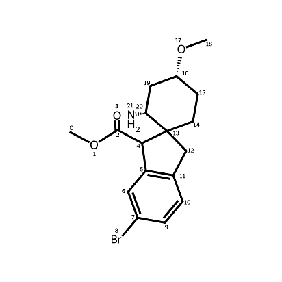 COC(=O)C1c2cc(Br)ccc2CC12CC[C@@H](OC)C[C@H]2N